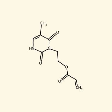 C=CC(=O)OCCn1c(=O)[nH]cc(C)c1=O